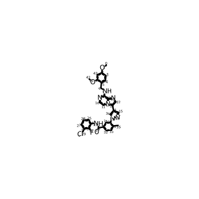 COc1ccc(CNc2nccn3c(-c4cnn(-c5cc(C(=O)Nc6cccc(Cl)c6F)ccc5C)c4)cnc23)c(OC)c1